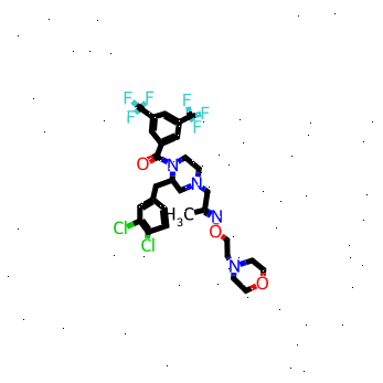 C/C(CN1CCN(C(=O)c2cc(C(F)(F)F)cc(C(F)(F)F)c2)C(Cc2ccc(Cl)c(Cl)c2)C1)=N\OCCN1CCOCC1